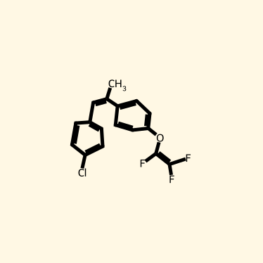 CC(=Cc1ccc(Cl)cc1)c1ccc(OC(F)=C(F)F)cc1